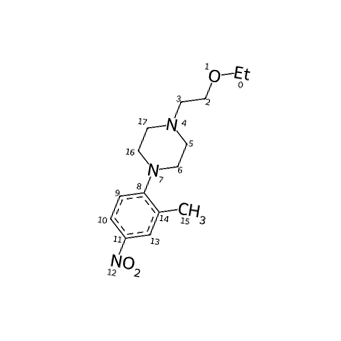 CCOCCN1CCN(c2ccc([N+](=O)[O-])cc2C)CC1